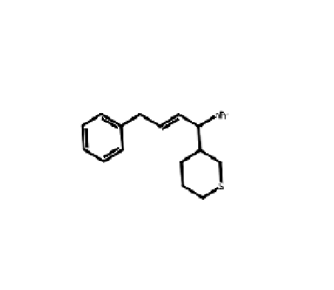 CCC[C](C=CCc1ccccc1)C1CCCSC1